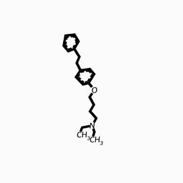 CCN(CC)CCCCOc1ccc(CCc2ccccc2)cc1